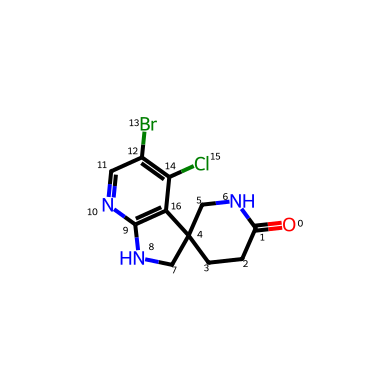 O=C1CCC2(CN1)CNc1ncc(Br)c(Cl)c12